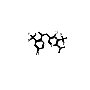 CC(C)c1ncc(CC(C)c2ncc(Cl)cc2C(F)(F)F)c(Cl)c1C(F)(F)F